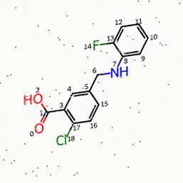 O=C(O)c1cc(CNc2ccccc2F)ccc1Cl